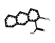 Cc1ccc2cc3ccccc3cc2c1C(=O)O